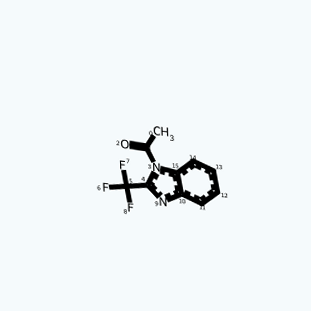 CC(=O)n1c(C(F)(F)F)nc2ccccc21